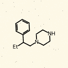 CCC(CN1CCNCC1)c1ccccc1